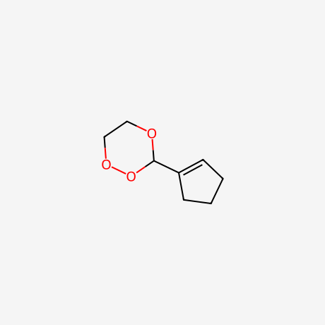 C1=C(C2OCCOO2)CCC1